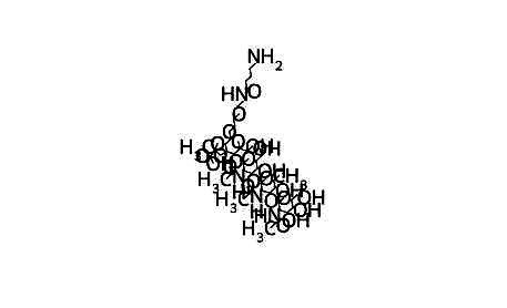 CC(=O)NC1C(OC2C(O)C(C)OC(OC3C(O)C(CO)OC(OC4C(CO)OC(OCCOCCNC(=O)CCCCN)C5O[C@@](C)(C(=O)O)OC45)C3NC(C)=O)C2NC(C)=O)OC(CO)C(O)C1O